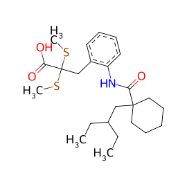 CCC(CC)CC1(C(=O)Nc2ccccc2CC(SC)(SC)C(=O)O)CCCCC1